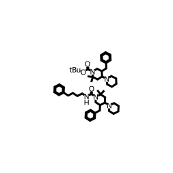 CC(C)(C)OC(=O)N1CC(Cc2ccccc2)C(N2CCCCC2)CC1(C)C.CC1(C)CC(N2CCCCC2)C(Cc2ccccc2)CN1C(=O)NCCCCc1ccccc1